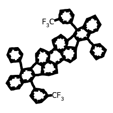 FC(F)(F)c1cccc(-c2c3c(c(-c4ccccc4)c4ccccc24)-c2ccc4c5ccc6c7c(ccc(c8ccc-3c2c48)c75)-c2c-6c(-c3cccc(C(F)(F)F)c3)c3ccccc3c2-c2ccccc2)c1